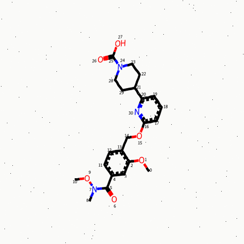 COc1cc(C(=O)N(C)OC)ccc1COc1cccc(C2CCN(C(=O)O)CC2)n1